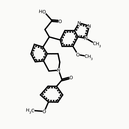 COc1ccc(C(=O)N2CCc3c(cccc3C(CC(=O)O)c3cc(OC)c4c(c3)nnn4C)C2)cc1